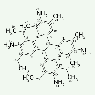 CCc1cc(C(c2cc(CC)c(N)c(CC)c2)C(c2cc(C)c(N)c(C)c2)c2cc(C)c(N)c(C)c2)cc(CC)c1N